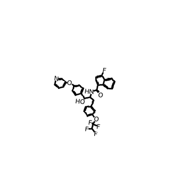 O=C(NC(Cc1cccc(OC(F)(F)C(F)F)c1)C(O)c1ccc(Oc2cccnc2)cc1)c1ccc(F)c2ccccc12